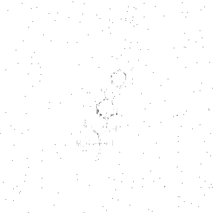 CC(C)(F)C(=O)Nc1ccc(Oc2ccc(F)c(F)c2)cn1